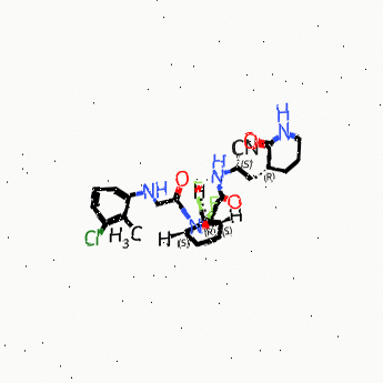 Cc1c(Cl)cccc1NCC(=O)N1[C@H]2CC[C@@H]([C@@H]1C(=O)N[C@H](C#N)C[C@H]1CCCNC1=O)C(F)(F)C2